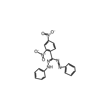 O=[N+]([O-])c1ccc(C(N=Nc2ccccc2)=NNc2ccccc2)c([N+](=O)[O-])c1